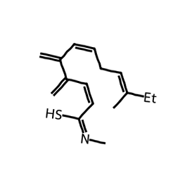 C=C(/C=C\C/C=C(\C)CC)C(=C)/C=C\C(S)=N/C